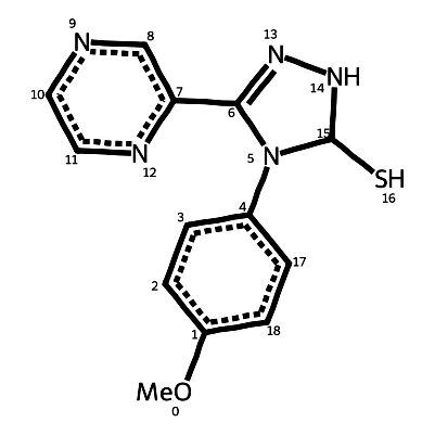 COc1ccc(N2C(c3cnccn3)=NNC2S)cc1